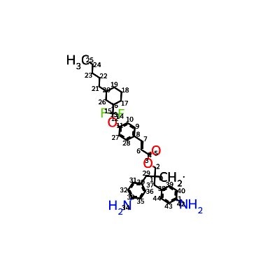 [CH2]C(COC(=O)/C=C/c1ccc(OC(F)(F)C2CCCC(CCCCC)C2)cc1)(Cc1ccc(N)cc1)Cc1ccc(N)cc1